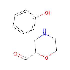 O=CC1CNCCO1.Oc1ccccc1